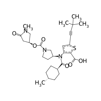 CN1C[C@@H](OC(=O)N2CC[C@H](N(c3cc(C#CC(C)(C)C)sc3C(=O)O)C(=O)[C@H]3CC[C@H](C)CC3)C2)CC1=O